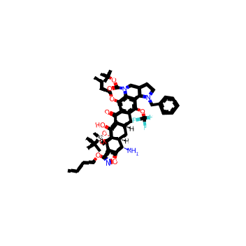 CCCCOc1noc2c1C(=O)[C@@]1(O[Si](C)(C)C(C)(C)C)C(O)=C3C(=O)c4c(c(OC(F)(F)F)c5c(c4OCCCC)N(C(=O)OC(C)(C)C)CC4CCN(Cc6ccccc6)C54)C[C@H]3C[C@H]1[C@@H]2N